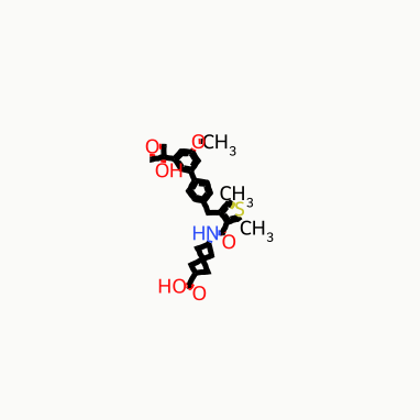 COc1cc(-c2ccc(Cc3c(C)sc(C)c3C(=O)NC3CC4(C3)CC(C(=O)O)C4)cc2)cc(C2(O)COC2)c1